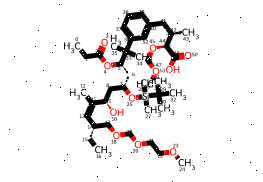 CCC(=O)O[C@@H](C[C@@H](C[C@H](O)/C(C)=C\[C@@H](CC)COCOCCOC)O[Si](C)(C)C(C)(C)C)C(C)(C)c1cccc(C[C@@H](C)[C@H](OCOC)C(=O)O)c1